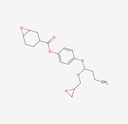 CCCC(OCC1CO1)Oc1ccc(OC(=O)C2CCC3OC3C2)cc1